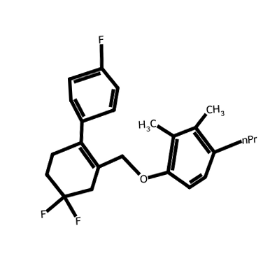 CCCc1ccc(OCC2=C(c3ccc(F)cc3)CCC(F)(F)C2)c(C)c1C